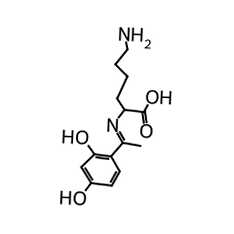 CC(=NC(CCCCN)C(=O)O)c1ccc(O)cc1O